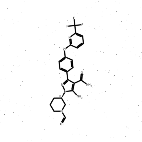 NC(=O)c1c(-c2ccc(Oc3cccc(C(F)(F)F)n3)cc2)nn([C@@H]2CCCN(C=O)C2)c1N